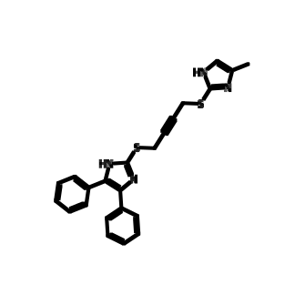 Cc1c[nH]c(SCC#CCSc2nc(-c3ccccc3)c(-c3ccccc3)[nH]2)n1